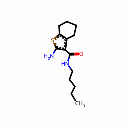 CCCCCNC(=O)c1c(N)sc2c1CCCC2